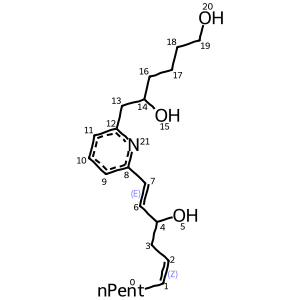 CCCCC/C=C\CC(O)/C=C/c1cccc(CC(O)CCCCO)n1